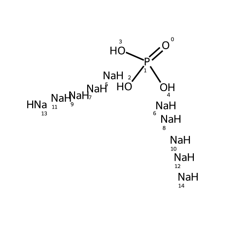 O=P(O)(O)O.[NaH].[NaH].[NaH].[NaH].[NaH].[NaH].[NaH].[NaH].[NaH].[NaH]